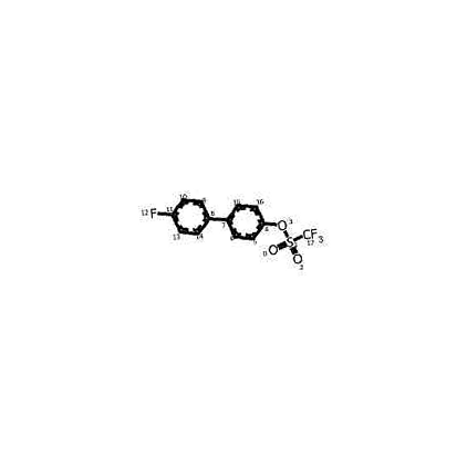 O=S(=O)(Oc1ccc(-c2ccc(F)cc2)cc1)C(F)(F)F